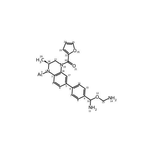 CC(=O)N1c2ccc(-c3ccc(C(N)OCN)cc3)cc2N(C(=O)c2ccco2)C[C@@H]1C